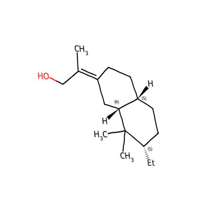 CC[C@H]1CC[C@H]2CCC(=C(C)CO)C[C@H]2C1(C)C